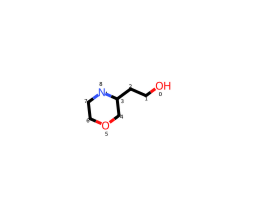 OCCC1COCC[N]1